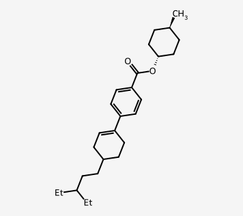 CCC(CC)CCC1CC=C(c2ccc(C(=O)O[C@H]3CC[C@H](C)CC3)cc2)CC1